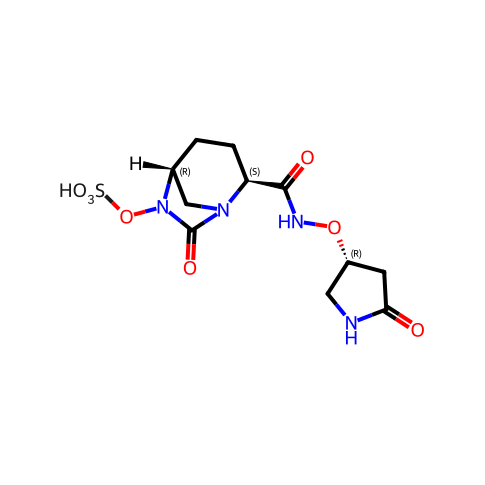 O=C1C[C@@H](ONC(=O)[C@@H]2CC[C@@H]3CN2C(=O)N3OS(=O)(=O)O)CN1